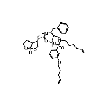 C=CCCCCN(C[C@@H](O)[C@H](Cc1ccccc1)NC(=O)O[C@H]1CO[C@H]2OCCC21)S(=O)(=O)c1cccc(OCCCC=C)c1